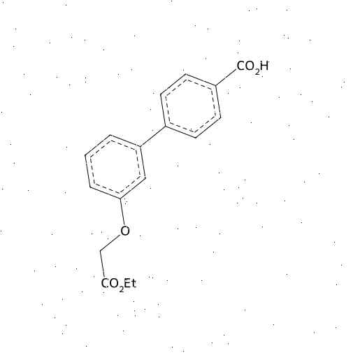 CCOC(=O)COc1cccc(-c2ccc(C(=O)O)cc2)c1